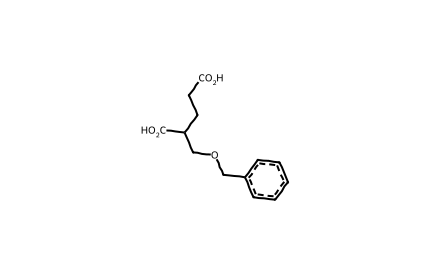 O=C(O)CCC(COCc1ccccc1)C(=O)O